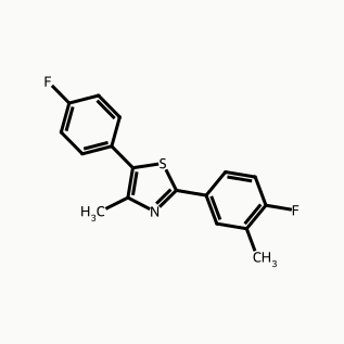 Cc1cc(-c2nc(C)c(-c3ccc(F)cc3)s2)ccc1F